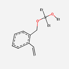 C=Cc1ccccc1CO[Si](CC)(CC)OCC